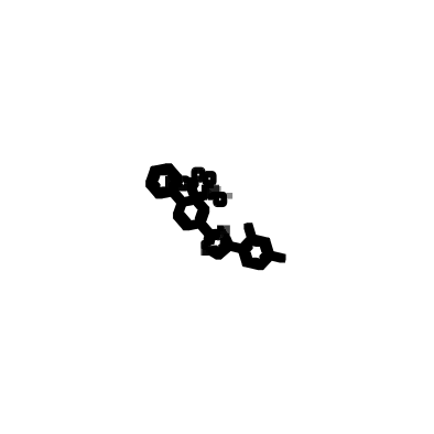 Cc1ccc(-c2csc(C3=CC(C(=O)O)([N+](=O)[O-])C(c4ccccc4)C=C3)n2)c(C)c1